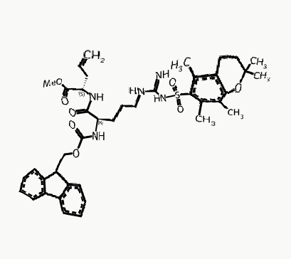 C=CC[C@H](NC(=O)[C@@H](CCCNC(=N)NS(=O)(=O)c1c(C)c(C)c2c(c1C)CCC(C)(C)O2)NC(=O)OCC1c2ccccc2-c2ccccc21)C(=O)OC